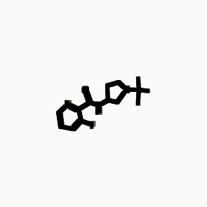 CC(C)(C)N1CCC(NC(=O)c2ncccc2F)C1